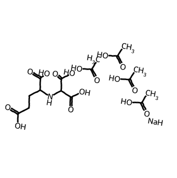 CC(=O)O.CC(=O)O.CC(=O)O.CC(=O)O.O=C(O)CCC(NC(C(=O)O)C(=O)O)C(=O)O.[NaH]